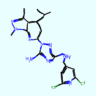 Cc1nn(C)c2nc(-n3nc(Nc4cc(Cl)nc(Cl)c4)nc3N)cc(C(C)C)c12